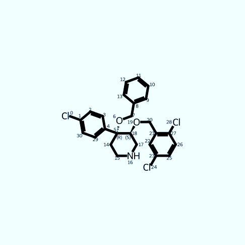 Clc1ccc([C@]2(OCc3ccccc3)CCNC[C@@H]2OCc2cc(Cl)ccc2Cl)cc1